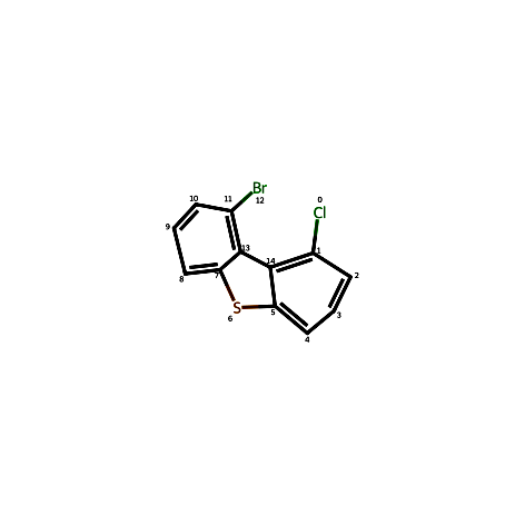 Clc1cccc2sc3cccc(Br)c3c12